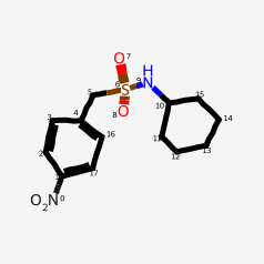 O=[N+]([O-])c1ccc(CS(=O)(=O)NC2CCCCC2)cc1